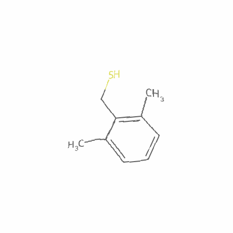 Cc1cccc(C)c1CS